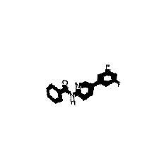 O=C(Nc1ccc(-c2cc(F)cc(F)c2)cn1)C1CCCCC1